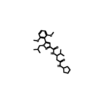 COc1cccc(OC)c1-c1cc(C(=O)NC(CC(=O)NC2CCCC2)C(C)C)nn1CC(C)C